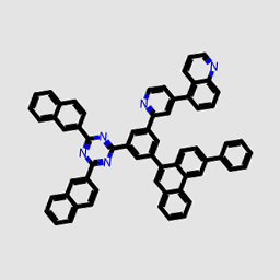 c1ccc(-c2ccc3c(-c4cc(-c5cc(-c6cccc7ncccc67)ccn5)cc(-c5nc(-c6ccc7ccccc7c6)nc(-c6ccc7ccccc7c6)n5)c4)cc4ccccc4c3c2)cc1